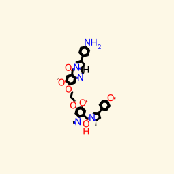 C=Nc1cc(OCCCOc2cc3c(cc2OC)C(=O)N2C=C(c4ccc(N)cc4)C[C@H]2C=N3)c(OC)cc1C(O)N1C=C(c2ccc(OC)cc2)C[C@H]1C